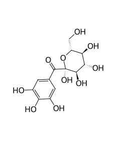 O=C(c1cc(O)c(O)c(O)c1)[C@@]1(O)O[C@H](CO)[C@@H](O)[C@H](O)[C@H]1O